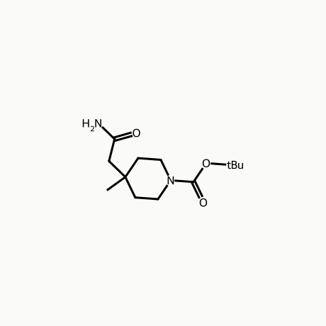 CC1(CC(N)=O)CCN(C(=O)OC(C)(C)C)CC1